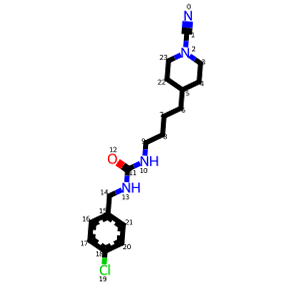 N#CN1CCC(CCCCNC(=O)NCc2ccc(Cl)cc2)CC1